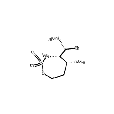 CCCCC[C@H](Br)[C@H]1NS(=O)(=O)OCC[C@H]1OC